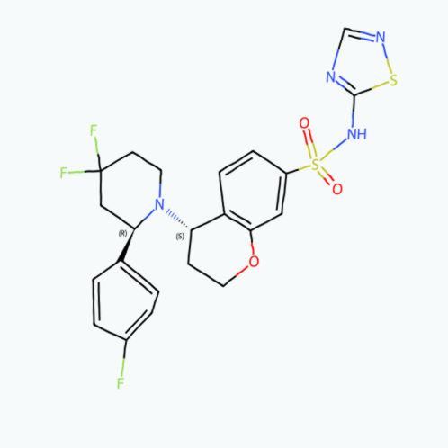 O=S(=O)(Nc1ncns1)c1ccc2c(c1)OCC[C@@H]2N1CCC(F)(F)C[C@@H]1c1ccc(F)cc1